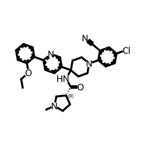 CCOc1ccccc1-c1ccc(C2(NC(=O)[C@@H]3CCN(C)C3)CCN(c3ccc(Cl)cc3C#N)CC2)cn1